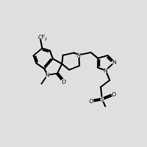 CN1C(=O)C2(CCN(Cc3cnn(CCS(C)(=O)=O)c3)CC2)c2cc(C(F)(F)F)ccc21